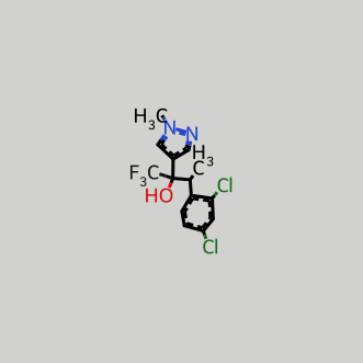 CC(c1ccc(Cl)cc1Cl)C(O)(c1cnn(C)c1)C(F)(F)F